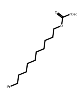 CCCCCCCCCCC(=O)OCCCCCCCCCCC(C)C